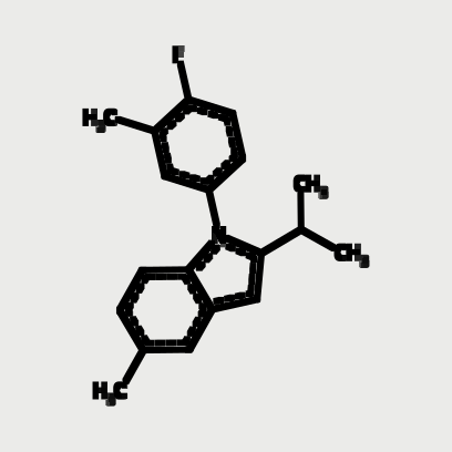 Cc1ccc2c(c1)cc(C(C)C)n2-c1ccc(F)c(C)c1